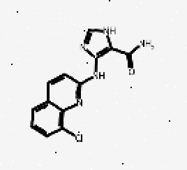 NC(=O)c1[nH]cnc1Nc1ccc2cccc(Cl)c2n1